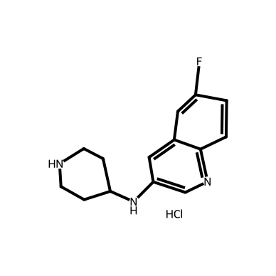 Cl.Fc1ccc2ncc(NC3CCNCC3)cc2c1